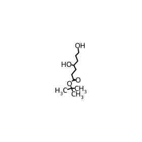 CC(C)(C)OC(=O)CCC(O)CCCO